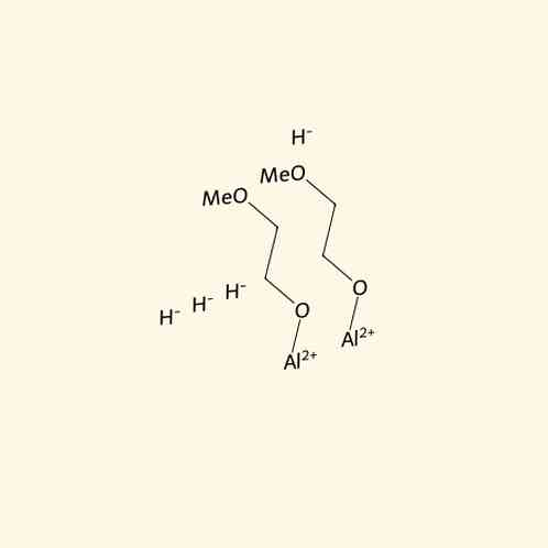 COCC[O][Al+2].COCC[O][Al+2].[H-].[H-].[H-].[H-]